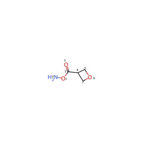 NOC(=O)C1COC1